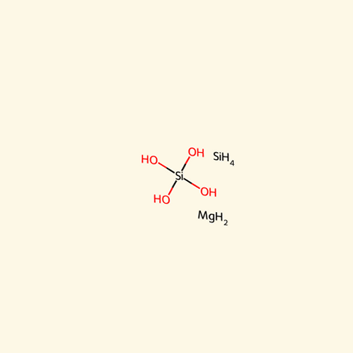 O[Si](O)(O)O.[MgH2].[SiH4]